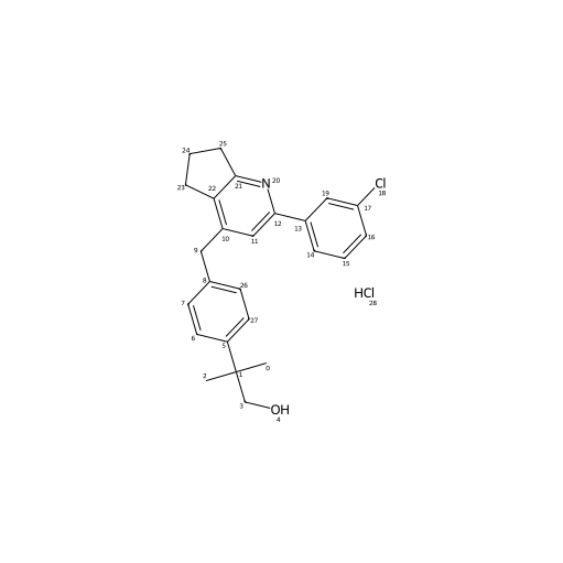 CC(C)(CO)c1ccc(Cc2cc(-c3cccc(Cl)c3)nc3c2CCC3)cc1.Cl